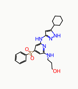 O=S(=O)(c1ccccc1)c1cc(NCCCO)nc(Nc2cc(C3CCCCC3)[nH]n2)c1